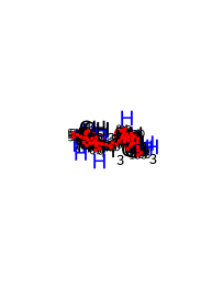 CC[C@H](NC)C(=O)N[C@@H]1C(=O)N2C(C(=O)NC(C(=O)NCCCCc3ccc(CCCCNC(=O)C(NC(=O)[C@@H]4CC[C@@H]5CC[C@H](CNCc6ccccc6)[C@H](NC(=O)[C@H](CC)NC)C(=O)N54)(c4ccccc4)c4ccccc4)cc3)(c3ccccc3)c3ccccc3)CC[C@@H]2CC[C@@H]1CCNCc1ccccc1